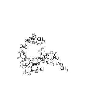 CCO[C@]1(CN2CCN(CCOC)CC2)/C=C/C[C@H](C)[C@@H](C)S(=O)(=O)NC(=O)c2ccc3c(c2)N(C[C@@H]2CC[C@H]21)C[C@@]1(CCCc2cc(Cl)ccc21)CO3